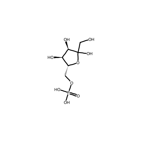 O=P(O)(O)OC[C@H]1OC(O)(CO)[C@H](O)[C@@H]1O